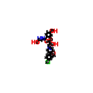 O=C(NCCO)c1ccc(O)cc1OCC(O)CN1CCC2(CC1)OCc1cc(Cl)ccc12